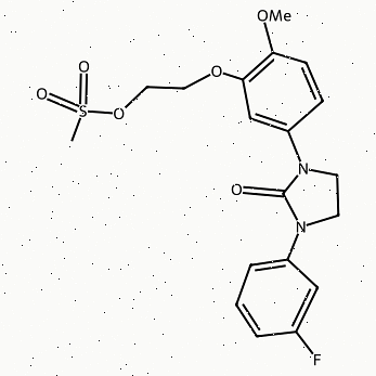 COc1ccc(N2CCN(c3cccc(F)c3)C2=O)cc1OCCOS(C)(=O)=O